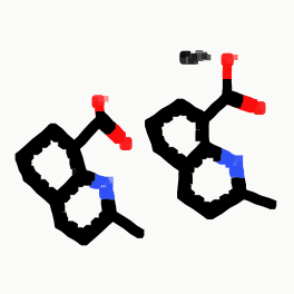 Cc1ccc2cccc(C(=O)[O-])c2n1.Cc1ccc2cccc(C(=O)[O-])c2n1.[Ga+2]